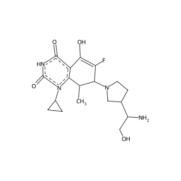 CC1c2c(c(=O)[nH]c(=O)n2C2CC2)C(O)=C(F)C1N1CCC(C(N)CO)C1